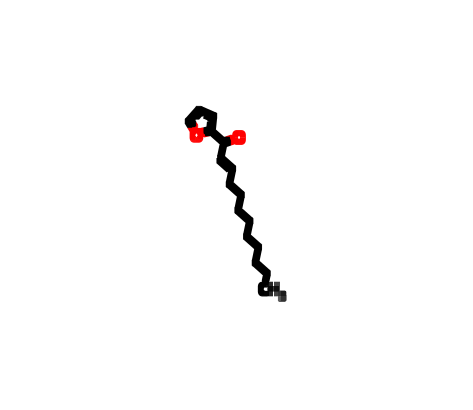 CCCCCCCCCC=CC(=O)c1ccco1